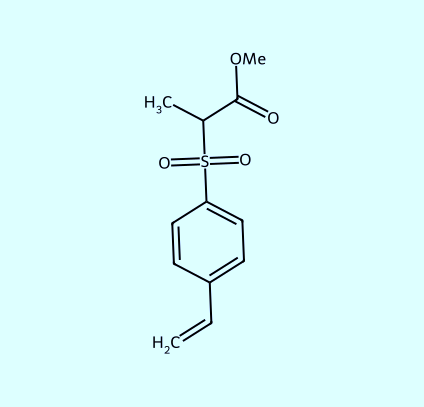 C=Cc1ccc(S(=O)(=O)C(C)C(=O)OC)cc1